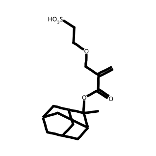 C=C(COCCS(=O)(=O)O)C(=O)OC1(C)C2CC3CC(C2)CC1C3